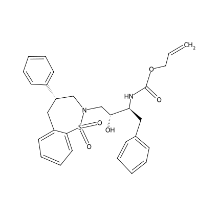 C=CCOC(=O)N[C@@H](Cc1ccccc1)[C@H](O)CN1C[C@@H](c2ccccc2)Cc2ccccc2S1(=O)=O